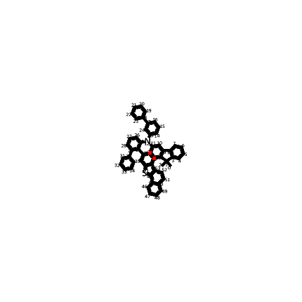 CC1(C)c2ccccc2-c2cc(N(c3cccc(-c4ccccc4)c3)c3cccc(-c4ccccc4)c3-c3ccc4c(c3)sc3c5ccccc5ccc43)ccc21